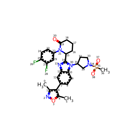 Cc1noc(C)c1-c1ccc2c(c1)nc(C1CCCC(=O)N1c1ccc(F)c(F)c1)n2C1CCN(S(C)(=O)=O)C1